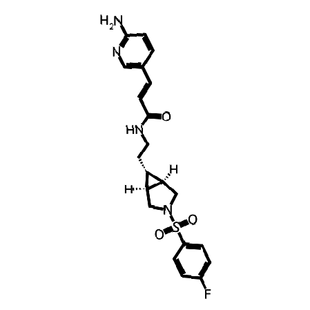 Nc1ccc(/C=C/C(=O)NCC[C@@H]2[C@H]3CN(S(=O)(=O)c4ccc(F)cc4)C[C@@H]23)cn1